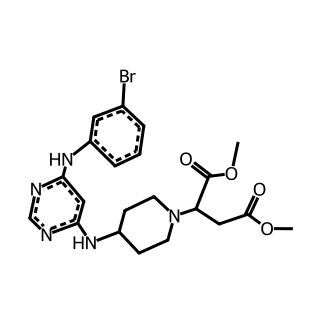 COC(=O)CC(C(=O)OC)N1CCC(Nc2cc(Nc3cccc(Br)c3)ncn2)CC1